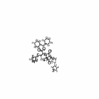 O=C(Cc1ccsc1)N[C@@H]1C(=O)N2C(C(=O)OC(c3ccccc3)c3ccccc3)=C(Sc3nncs3)CS[C@@H]12